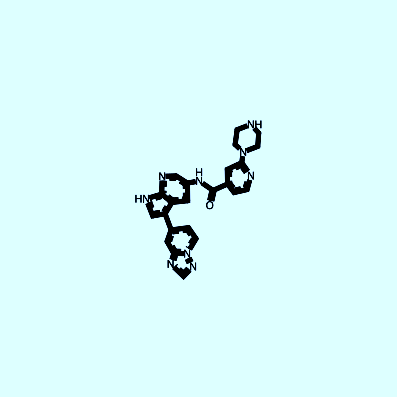 O=C(Nc1cnc2[nH]cc(-c3ccn4ncnc4c3)c2c1)c1ccnc(N2CCNCC2)c1